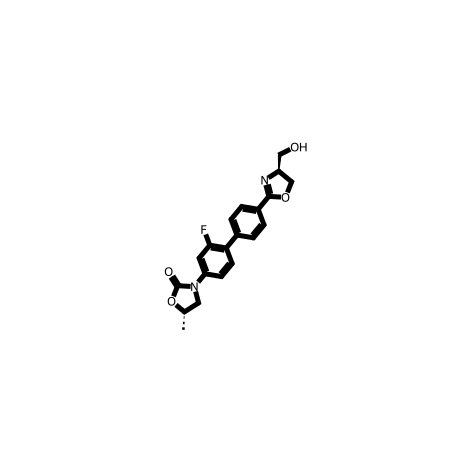 C[C@H]1CN(c2ccc(-c3ccc(C4=N[C@@H](CO)CO4)cc3)c(F)c2)C(=O)O1